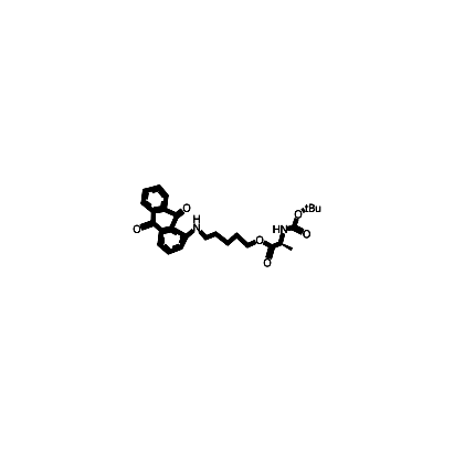 C[C@H](NC(=O)OC(C)(C)C)C(=O)OCCCCCNc1cccc2c1C(=O)c1ccccc1C2=O